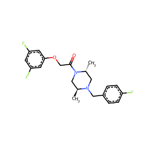 C[C@@H]1CN(Cc2ccc(F)cc2)[C@@H](C)CN1C(=O)COc1cc(F)cc(F)c1